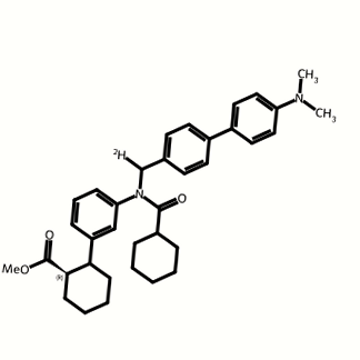 [2H]C(c1ccc(-c2ccc(N(C)C)cc2)cc1)N(C(=O)C1CCCCC1)c1cccc(C2CCCC[C@H]2C(=O)OC)c1